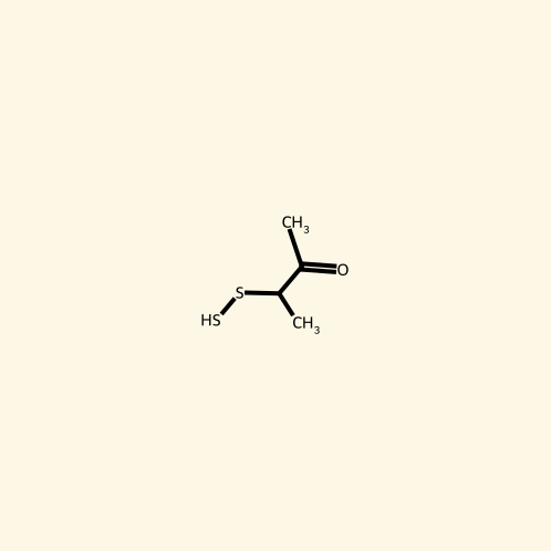 CC(=O)C(C)SS